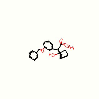 O=C(O)C(c1cccc(OCc2ccccc2)c1)C1(O)CCC1